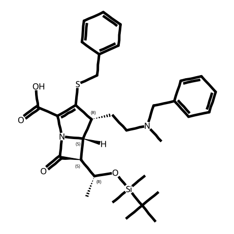 C[C@@H](O[Si](C)(C)C(C)(C)C)[C@H]1C(=O)N2C(C(=O)O)=C(SCc3ccccc3)[C@H](CCN(C)Cc3ccccc3)[C@H]12